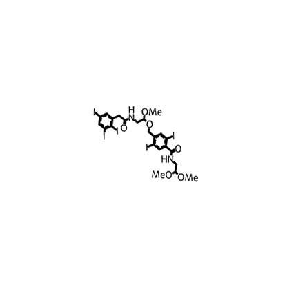 COC(CNC(=O)c1cc(I)c(COC(CNC(=O)Cc2cc(I)cc(I)c2I)OC)cc1I)OC